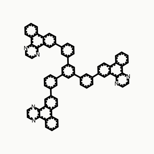 c1cc(-c2cc(-c3cccc(-c4ccc5c6ccccc6c6nccnc6c5c4)c3)cc(-c3cccc(-c4ccc5c6ccccc6c6nccnc6c5c4)c3)c2)cc(-c2ccc3c4ccccc4c4nccnc4c3c2)c1